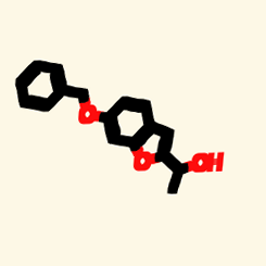 CC(O)c1cc2ccc(OCc3ccccc3)cc2o1